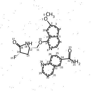 COc1ccc2ccnc(OC[C@@H]3C[C@H](F)C(=O)N3)c2c1.NC(=O)c1ccc2ncccc2c1